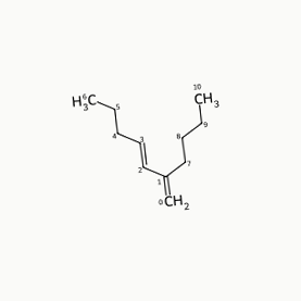 C=C(C=CCCC)CCCC